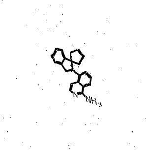 Nc1nccc2c(C3Cc4ccccc4C34CCCC4)cccc12